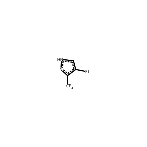 CCc1c[nH]nc1C(F)(F)F